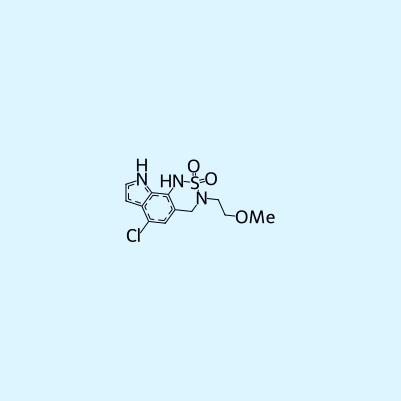 COCCN1Cc2cc(Cl)c3cc[nH]c3c2NS1(=O)=O